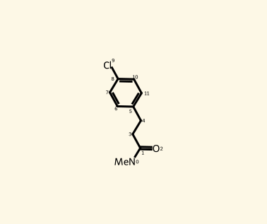 CNC(=O)CCc1ccc(Cl)cc1